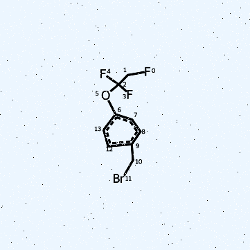 FCC(F)(F)Oc1ccc(CBr)cc1